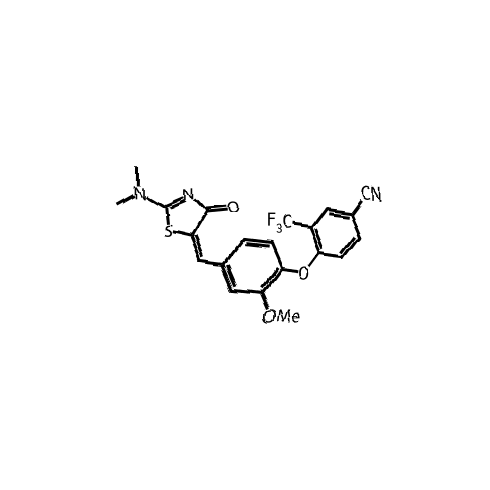 COc1cc(C=C2SC(N(C)C)=NC2=O)ccc1Oc1ccc(C#N)cc1C(F)(F)F